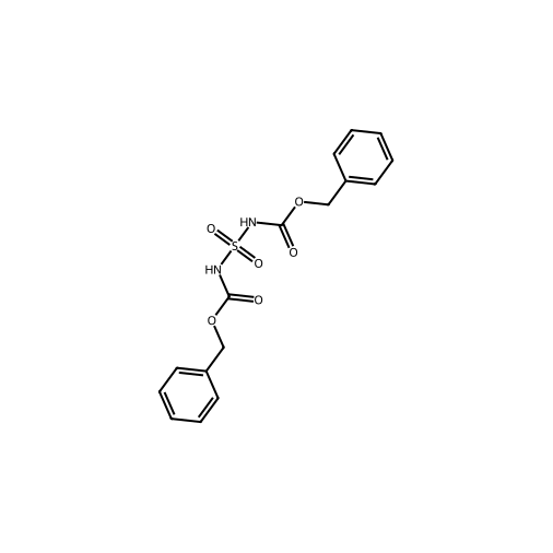 O=C(NS(=O)(=O)NC(=O)OCc1ccccc1)OCc1ccccc1